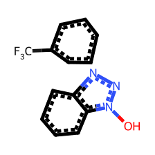 FC(F)(F)c1ccccc1.On1nnc2ccccc21